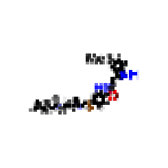 COc1ccc2[nH]cc(CCNC(=O)c3ccc(SC/C=C(\C)CC/C=C(\C)CCC=C(C)C)cc3)c2c1